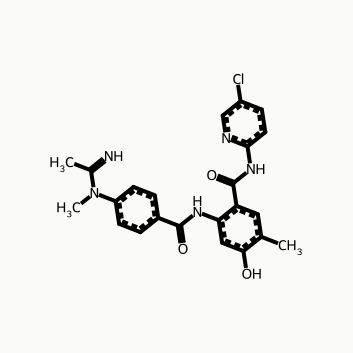 CC(=N)N(C)c1ccc(C(=O)Nc2cc(O)c(C)cc2C(=O)Nc2ccc(Cl)cn2)cc1